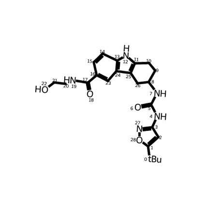 CC(C)(C)c1cc(NC(=O)NC2CCc3[nH]c4ccc(C(=O)NCCO)cc4c3C2)no1